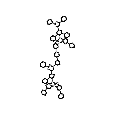 c1ccc(-c2ccc3nc4n(-c5ccc(-c6cc(-c7cccc(-c8ccc(-c9ccc%10nc%11n(-c%12c(-c%13ccccc%13)cc(-c%13cc(-c%14ccccc%14)nc(-c%14ccccc%14)n%13)cc%12-c%12ccccc%12)c%12ccc(-c%13ccccc%13)cc%12n%11c%10c9)cc8)c7)nc(-c7ccccc7)n6)cc5-c5ccccc5)c5ccc(-c6ccccc6)cc5n4c3c2)cc1